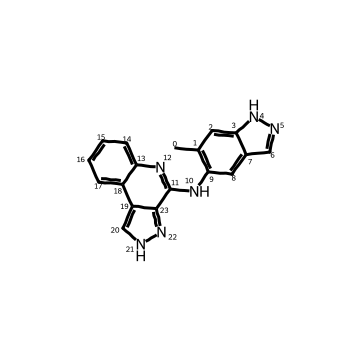 Cc1cc2[nH]ncc2cc1Nc1nc2ccccc2c2c[nH]nc12